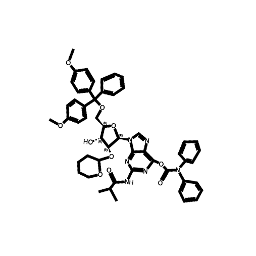 COc1ccc(C(OC[C@H]2O[C@@H](n3cnc4c(OC(=O)N(c5ccccc5)c5ccccc5)nc(NC(=O)C(C)C)nc43)[C@H](OC3CCCCO3)[C@@H]2O)(c2ccccc2)c2ccc(OC)cc2)cc1